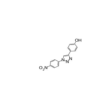 O=[N+]([O-])c1ccc(-n2cc(-c3ccc(O)cc3)nn2)cc1